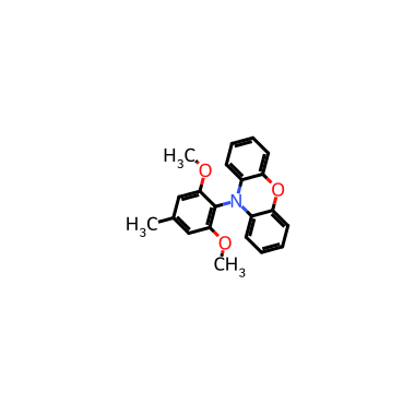 COc1cc(C)cc(OC)c1N1c2ccccc2Oc2ccccc21